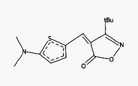 CN(C)c1ccc(/C=C2\C(=O)ON=C2C(C)(C)C)s1